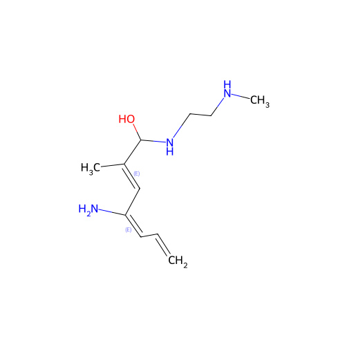 C=C/C=C(N)\C=C(/C)C(O)NCCNC